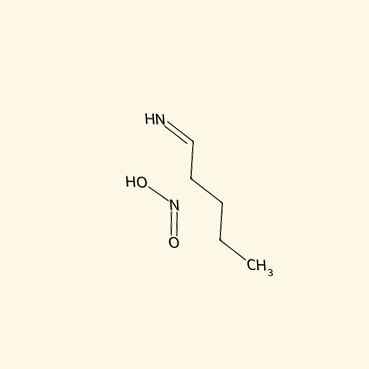 CCCCC=N.O=NO